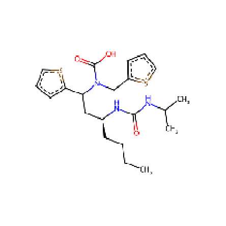 CCCC[C@@H](CC(c1cccs1)N(Cc1cccs1)C(=O)O)NC(=O)NC(C)C